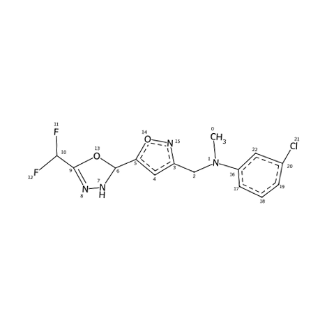 CN(Cc1cc(C2NN=C(C(F)F)O2)on1)c1cccc(Cl)c1